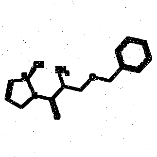 N#C[C@@H]1C=CCN1C(=O)C(N)COCc1ccccc1